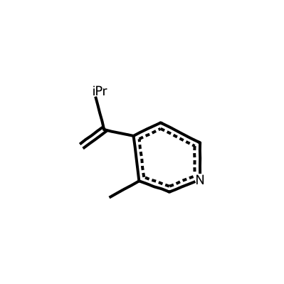 C=C(c1ccncc1C)C(C)C